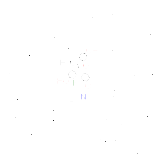 CCC1CN(CCOc2ccc(C3Oc4cc(O)ccc4C(C)=C3c3ccc(O)c(F)c3)cc2)C1